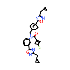 O=C(N(CC12CCC(c3nc(CC4CC4)no3)(CC1)CC2)c1cccc(-c2nc(CC3CC3)no2)c1)C12CC(F)(C1)C2